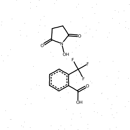 O=C(O)c1ccccc1C(F)(F)F.O=C1CCC(=O)N1O